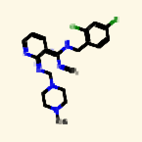 C=N/C(NCc1ccc(Cl)cc1Cl)=C1/C=CC=N/C1=N/CN1CCN(C=O)CC1